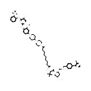 COc1cc(N2CCC(N3CCN(C(=O)CCCCCCCC(=O)N[C@H](C(=O)N4C[C@H](O)C[C@H]4C(=O)NCc4ccc(-c5scnc5C)cc4)C(C)(C)C)CC3)CC2)ccc1Nc1ncc(Cl)c(Nc2ccccc2P(C)(C)=O)n1